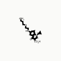 NCCCOCCNc1ccc2c(c1)c(=O)c(C(=O)O)cn2C1CC1